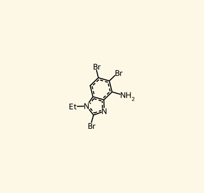 CCn1c(Br)nc2c(N)c(Br)c(Br)cc21